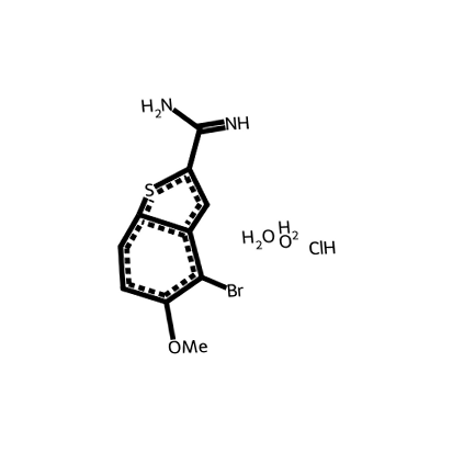 COc1ccc2sc(C(=N)N)cc2c1Br.Cl.O.O